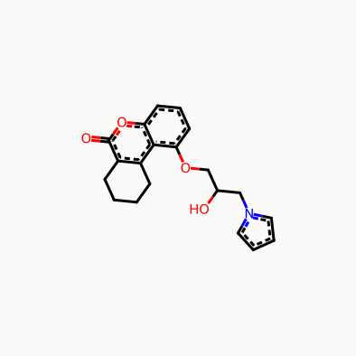 O=c1oc2cccc(OCC(O)Cn3cccc3)c2c2c1CCCC2